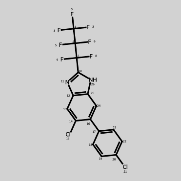 FC(F)(F)C(F)(F)C(F)(F)c1nc2cc(Cl)c(-c3ccc(Cl)cc3)cc2[nH]1